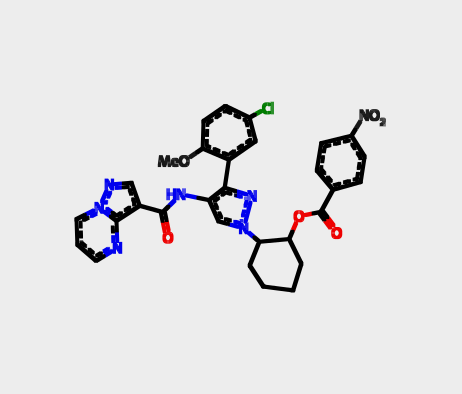 COc1ccc(Cl)cc1-c1nn(C2CCCCC2OC(=O)c2ccc([N+](=O)[O-])cc2)cc1NC(=O)c1cnn2cccnc12